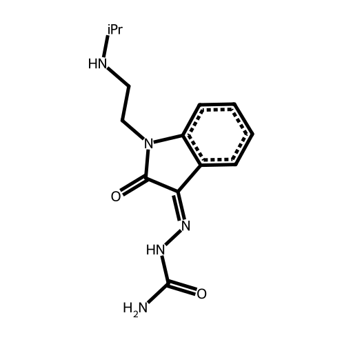 CC(C)NCCN1C(=O)C(=NNC(N)=O)c2ccccc21